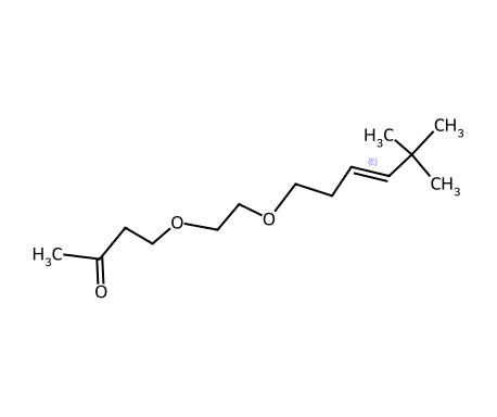 CC(=O)CCOCCOCC/C=C/C(C)(C)C